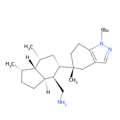 C[C@@H]1C[C@H]([C@]2(C)[CH]Cc3c(cnn3C(C)(C)C)C2)[C@@H](CN)[C@H]2CC[C@H](C)[C@@H]21